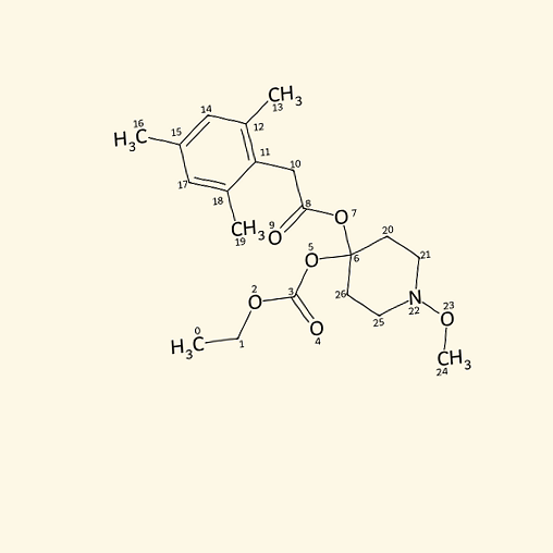 CCOC(=O)OC1(OC(=O)Cc2c(C)cc(C)cc2C)CCN(OC)CC1